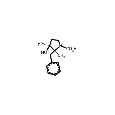 CCC[C@]1(O)CCN(C(=O)O)[C@@]1(C)Cc1ccccc1